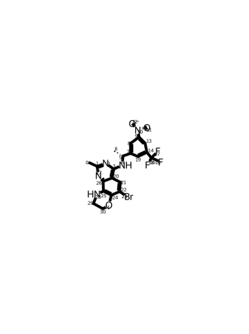 Cc1nc(N[C@H](C)c2cc([N+](=O)[O-])cc(C(F)(F)F)c2)c2cc(Br)c3c(c2n1)NCCO3